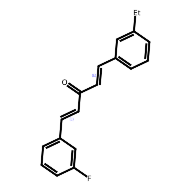 CCc1cccc(/C=C/C(=O)/C=C/c2cccc(F)c2)c1